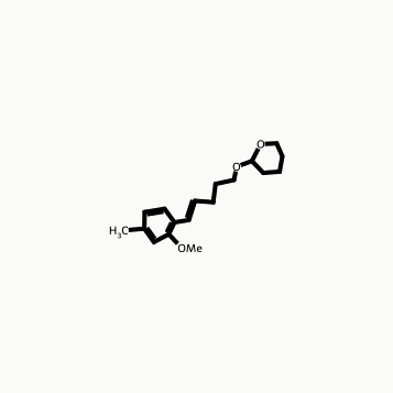 COc1cc(C)ccc1C=CCCCOC1CCCCO1